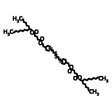 CCCCCCCCC(CCCCCC)COC(=O)CCCC(=O)OCCC1CCN(CCSSCCN2CCC(CCOC(=O)CCCC(=O)OCC(CCCCCC)CCCCCCCC)CC2)CC1